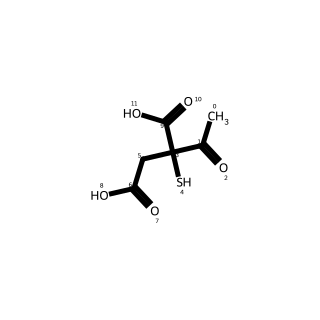 CC(=O)C(S)(CC(=O)O)C(=O)O